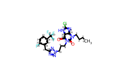 CCCCn1c(=O)n(CCCn2nnc(Cc3cc(C(F)(F)F)ccc3F)n2)c(=O)c2[nH]c(Cl)nc21